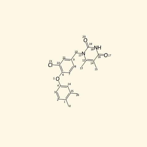 Cc1ccc(Oc2ccc(Cn3c(C)c(C)c(=O)[nH]c3=O)cc2Cl)cc1C